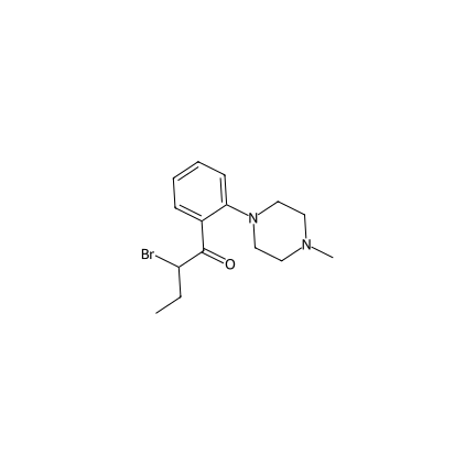 CCC(Br)C(=O)c1ccccc1N1CCN(C)CC1